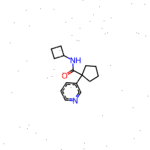 O=C(NC1CCC1)C1(c2cccnc2)CCCC1